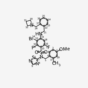 COc1ccc(CN(c2ncns2)S(=O)(=O)c2c(F)cc(NCc3ccccc3CN3CCC3)c(Br)c2F)c(C)c1